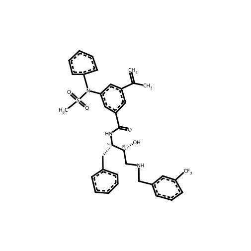 C=C(C)c1cc(C(=O)N[C@@H](Cc2ccccc2)[C@H](O)CNCc2cccc(C(F)(F)F)c2)cc(N(c2ccccc2)S(C)(=O)=O)c1